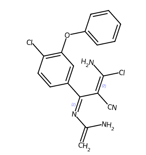 C=C(N)/N=C(\C(C#N)=C(/N)Cl)c1ccc(Cl)c(Oc2ccccc2)c1